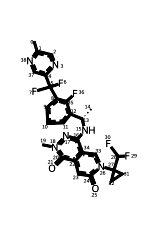 Cc1cnc(C(F)(F)c2cccc([C@H](C)Nc3nn(C)c(=O)c4cc(=O)n(C5(C(F)F)CC5)cc34)c2F)cn1